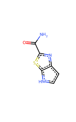 NC(=O)c1nc2cc[nH]c2s1